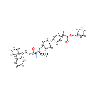 O=C(Nc1ccc(-c2ccc(C[C@H](NC(=O)OCC3c4ccccc4-c4ccccc43)C(=O)O)cc2)cc1)OCc1ccccc1